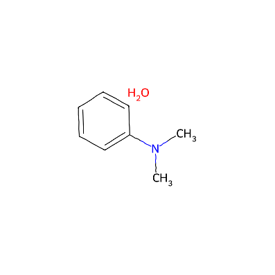 CN(C)c1ccccc1.O